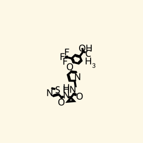 CC(O)c1ccc(Oc2ccc(CNC(=O)C3(NC(=O)c4cncs4)CC3)nc2)c(C(F)(F)F)c1